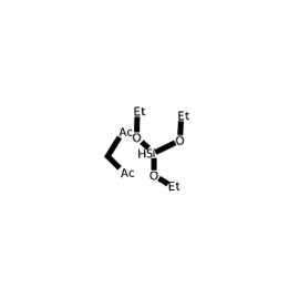 CC(=O)CC(C)=O.CCO[SiH](OCC)OCC